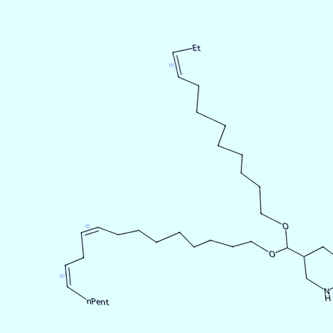 CC/C=C\CCCCCCCCOC(OCCCCCCCC/C=C\C/C=C\CCCCC)C1CCCNC1